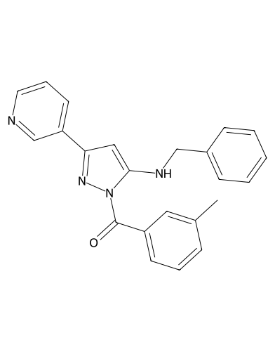 Cc1cccc(C(=O)n2nc(-c3cccnc3)cc2NCc2ccccc2)c1